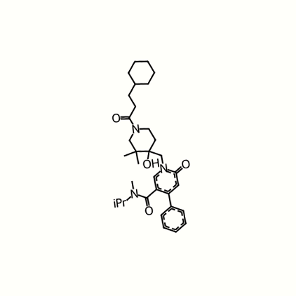 CC(C)N(C)C(=O)c1cn(CC2(O)CCN(C(=O)CCC3CCCCC3)CC2(C)C)c(=O)cc1-c1ccccc1